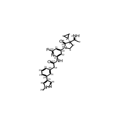 CC(=N)[C@@]1(C2CC2)CCN(c2cc(F)nc(NC(=O)Cc3cccc(-c4cnn(C)c4)c3)c2)C1=O